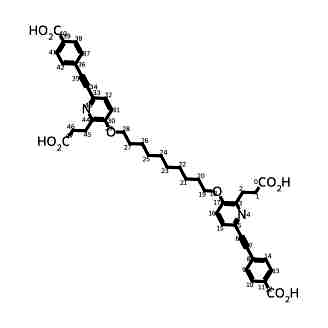 O=C(O)CCc1nc(C#Cc2ccc(C(=O)O)cc2)ccc1OCCCCCCCCCCOc1ccc(C#Cc2ccc(C(=O)O)cc2)nc1CCC(=O)O